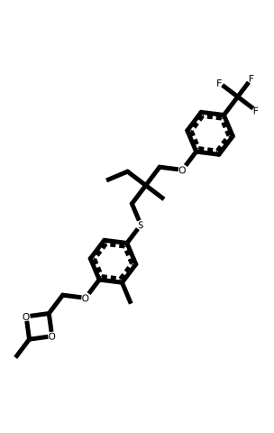 CCC(C)(COc1ccc(C(F)(F)F)cc1)CSc1ccc(OCC2OC(C)O2)c(C)c1